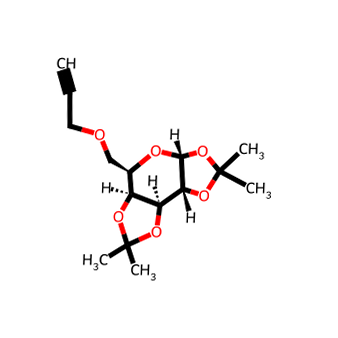 C#CCOC[C@H]1O[C@@H]2OC(C)(C)O[C@@H]2[C@H]2OC(C)(C)O[C@H]21